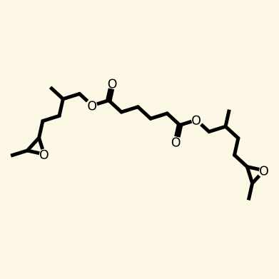 CC(CCC1OC1C)COC(=O)CCCCC(=O)OCC(C)CCC1OC1C